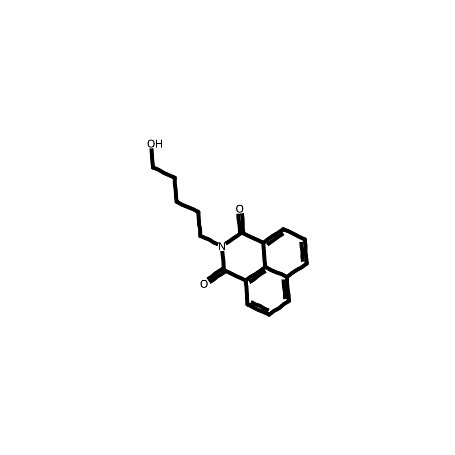 O=C1c2cccc3cccc(c23)C(=O)N1CCCCCO